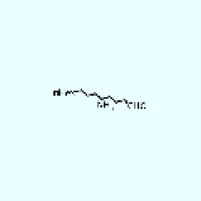 CCCCCCCCCCCCCC=O.N